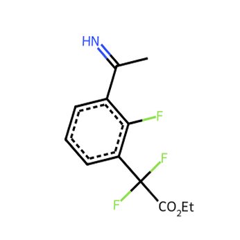 CCOC(=O)C(F)(F)c1cccc(C(C)=N)c1F